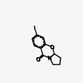 O=C1c2ccc(I)cc2OC2CCCN12